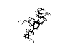 Cc1cccc(NC(=O)c2cc(F)c(-n3nc(C)n(C(C)C)c3=O)cc2O[C@@H](C)C(F)(F)F)c1